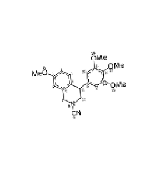 COc1ccc2c(c1)CN(C#N)CC2c1cc(OC)c(OC)c(OC)c1